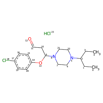 CCC(CC)N1CCN(C(CC=O)Oc2ccc(Cl)cc2)CC1.Cl